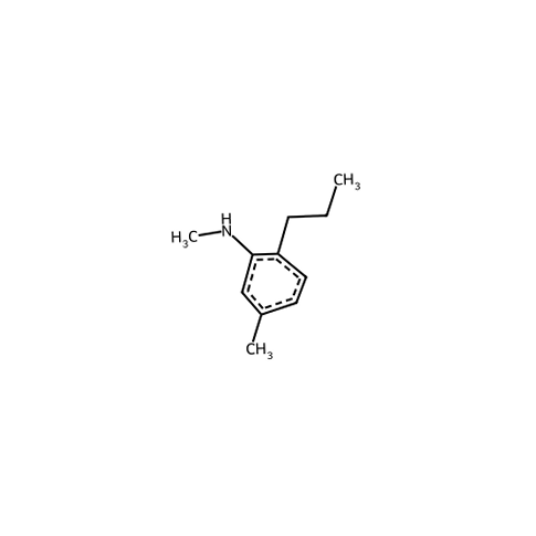 CCCc1ccc(C)cc1NC